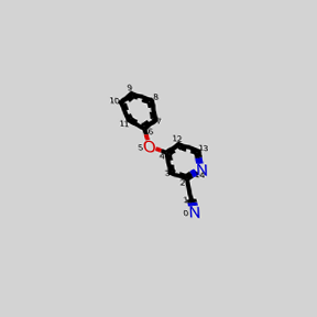 N#Cc1cc(Oc2ccccc2)ccn1